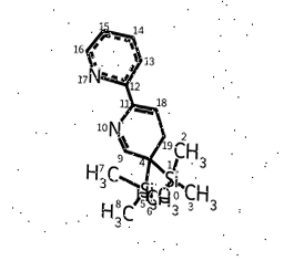 C[Si](C)(C)C1([Si](C)(C)C)C=NC(c2ccccn2)=CC1